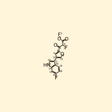 O=C(OF)C(F)C(=O)c1cc(-c2c[nH]c3cc(F)ccc23)co1